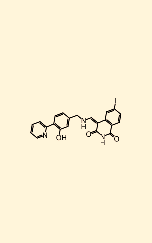 O=C1NC(=O)c2ccc(I)cc2/C1=C/NCc1ccc(-c2ccccn2)c(O)c1